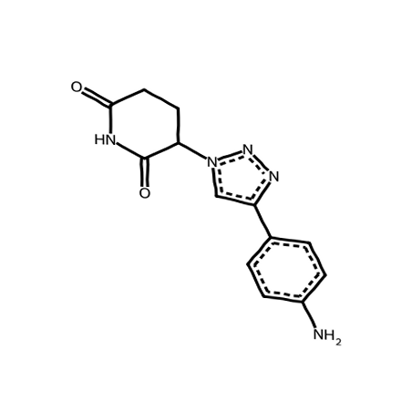 Nc1ccc(-c2cn(C3CCC(=O)NC3=O)nn2)cc1